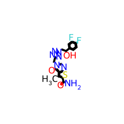 Cc1c(C(N)=O)sc2ncn(Cc3nnn(C[C@H](O)c4ccc(F)c(F)c4)n3)c(=O)c12